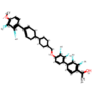 CCOc1ccc(C2=CCC(C3CCC(COc4ccc(-c5ccc(C(O)CC)c(F)c5F)c(F)c4F)CC3)CC2)c(F)c1F